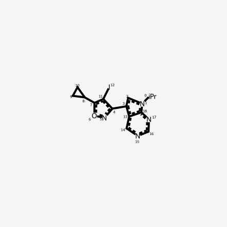 CC(C)n1cc(-c2noc(C3CC3)c2I)c2cncnc21